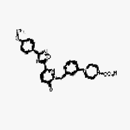 O=C(O)N1CCN(c2cccc(Cn3nc(-c4nc(-c5ccc(OC(F)(F)F)cc5)no4)ccc3=O)c2)CC1